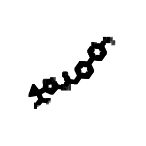 Nc1ccc(-c2ccc(CC(=O)Nc3cc(C4(C(F)F)CC4)on3)cc2)cn1